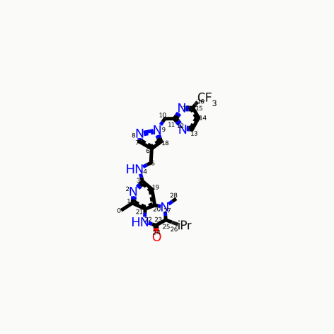 Cc1nc(NCc2cnn(Cc3nccc(C(F)(F)F)n3)c2)cc2c1NC(=O)C(C(C)C)N2C